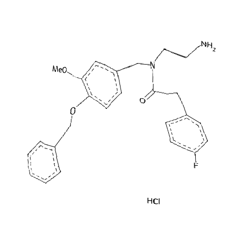 COc1cc(CN(CCN)C(=O)Cc2ccc(F)cc2)ccc1OCc1ccccc1.Cl